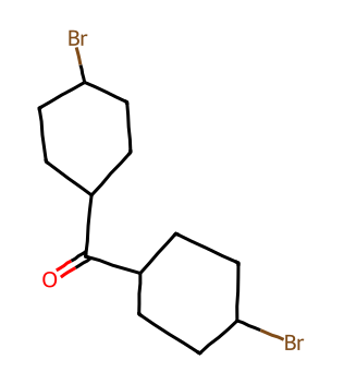 O=C(C1CCC(Br)CC1)C1CCC(Br)CC1